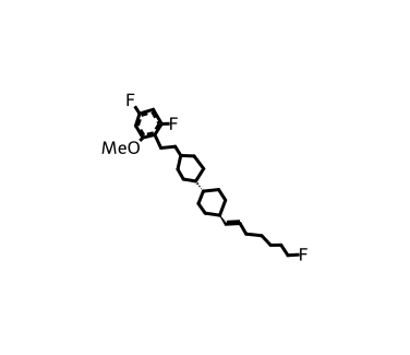 COc1cc(F)cc(F)c1CCC1CCC([C@H]2CC[C@H](/C=C/CCCCCF)CC2)CC1